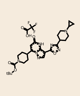 CC(C)(C)OC(=O)N1CCC(c2cc(=O)[nH]c3c(-c4nc(C5CCN(C6CC6)CC5)no4)cnn23)CC1.O=C(O)C(F)(F)F